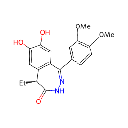 CC[C@@H]1C(=O)NN=C(c2ccc(OC)c(OC)c2)c2cc(O)c(O)cc21